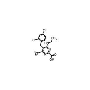 CCNc1nc(C(=O)O)nc(C2CC2)c1Cc1ccc(Cl)cc1Cl